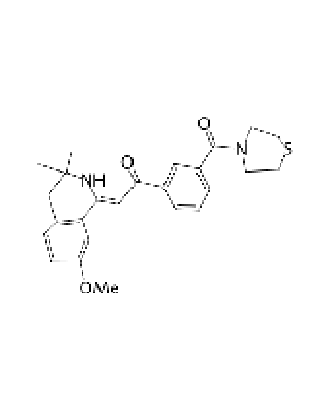 COc1ccc2c(c1)C(=CC(=O)c1cccc(C(=O)N3CCSCC3)c1)NC(C)(C)C2